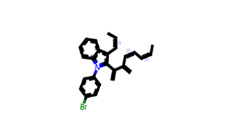 C=C(/C=C\C=C/C)C(=C)c1c(/C=C\C)c2ccccc2n1-c1ccc(Br)cc1